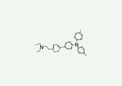 CCN(CC)CCC1=CC=C(c2ccc(N(c3ccc(C)cc3)c3ccc(C)cc3)cc2)CC1